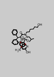 CC(C)CN(N(CCCCCCO)C(=O)C(NC(=O)c1ccc(O)nc1)C(c1ccccc1)c1ccccc1)S(=O)(=O)c1ccc(N)cc1